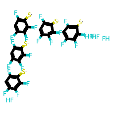 F.F.F.F.F.Fc1cc(F)c([S])c(F)c1F.Fc1cc(F)c([S])c(F)c1F.Fc1cc(F)c([S])c(F)c1F.Fc1cc(F)c([S])c(F)c1F.Fc1cc(F)c([S])c(F)c1F